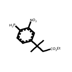 CCOC(=O)CC(C)(C)c1ccc(P)c([N+](=O)[O-])c1